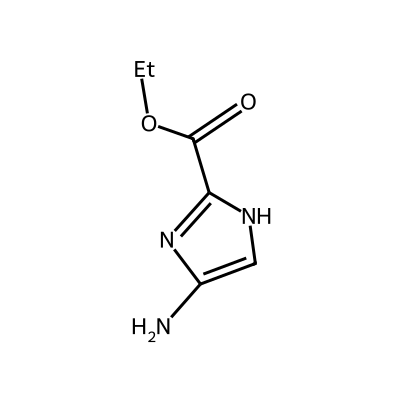 CCOC(=O)c1nc(N)c[nH]1